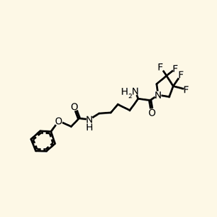 NC(CCCCNC(=O)COc1ccccc1)C(=O)N1CC(F)(F)C(F)(F)C1